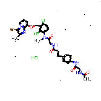 CC(=O)NCC(=O)Nc1ccc(/C=C/C(=O)NCC(=O)N(C)c2ccc(Cl)c(COc3cccn4c(Br)c(C)nc34)c2Cl)cc1.Cl